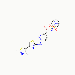 Cc1nc(C)c(-c2csc(Nc3ccc(C(=O)NC4CC5CC(C4)N5S(C)(=O)=O)cn3)n2)s1